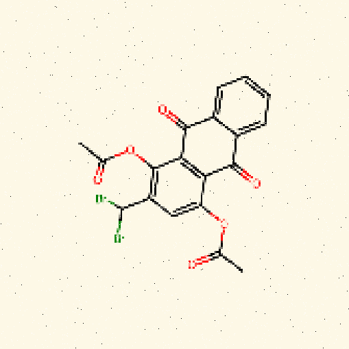 CC(=O)Oc1cc(C(Br)Br)c(OC(C)=O)c2c1C(=O)c1ccccc1C2=O